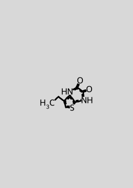 CCc1csc2[nH]c(=O)c(=O)[nH]c12